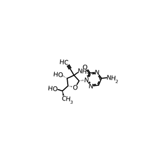 C#CC1(N)[C@@H](O)[C@@H]([C@@H](C)O)O[C@H]1n1ncc(N)nc1=O